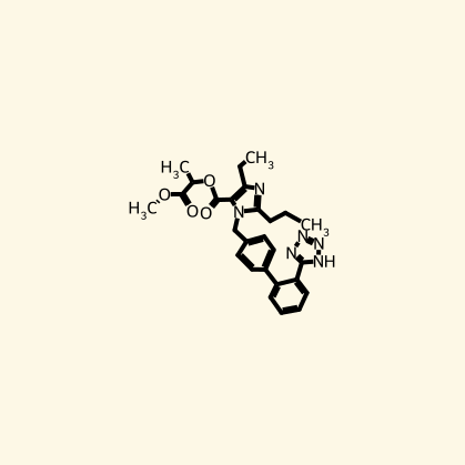 CCCc1nc(CC)c(C(=O)OC(C)C(=O)OC)n1Cc1ccc(-c2ccccc2-c2nnn[nH]2)cc1